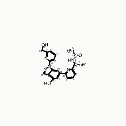 CCC[C@H](N[S+]([O-])C(C)(C)C)c1cccc(-c2cc(O)c3cnn(-c4cccc(CO)n4)c3c2)n1